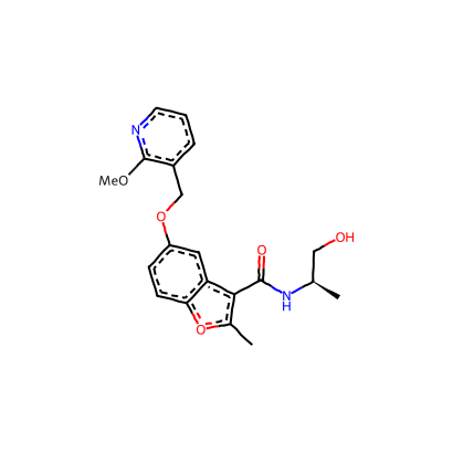 COc1ncccc1COc1ccc2oc(C)c(C(=O)N[C@H](C)CO)c2c1